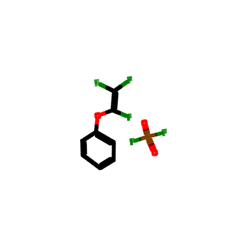 FC(F)=C(F)Oc1ccccc1.O=S(=O)(F)F